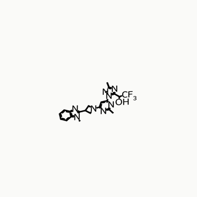 Cc1nc(N2CC(c3nc4ccccc4n3C)C2)cc(-n2nc(C)nc2C(O)C(F)(F)F)n1